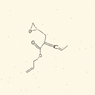 C=CCOC(=O)C(=C=CC)CC1CO1